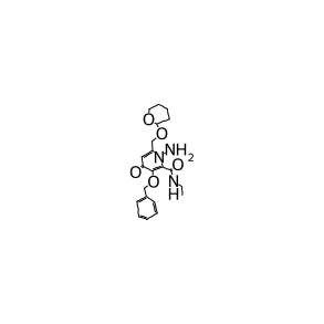 CCNC(=O)c1c(OCc2ccccc2)c(=O)cc(COC2CCCCO2)n1N